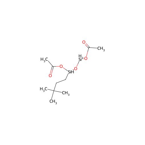 CC(=O)O[SiH2]O[SiH](CCC(C)(C)C)OC(C)=O